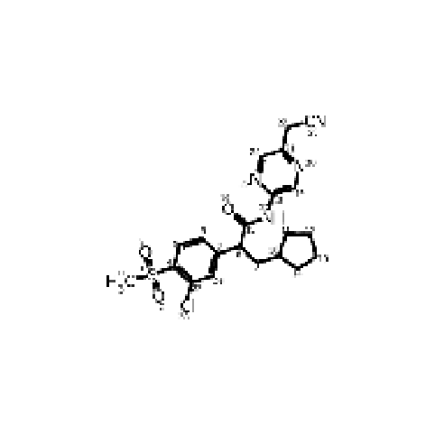 CS(=O)(=O)c1ccc(C(CC2CCCC2)C(=O)Nc2cnc(CC#N)cn2)cc1Cl